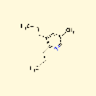 CCCc1cc(C)cnc1CCC